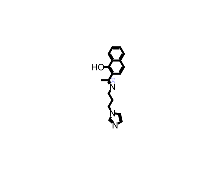 C/C(=N\CCCn1ccnc1)c1ccc2ccccc2c1O